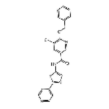 O=C(Nc1nnc(-c2ccncc2)s1)c1cnc(OCc2ccccc2)c(Cl)c1